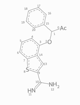 CC(=O)C(Oc1cccc2sc(C(=N)N)cc12)c1ccccc1